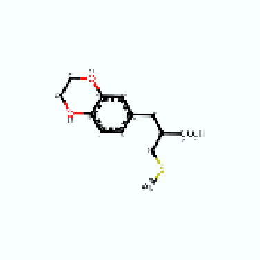 CC(=O)SCC(Cc1ccc2c(c1)OCCO2)C(=O)O